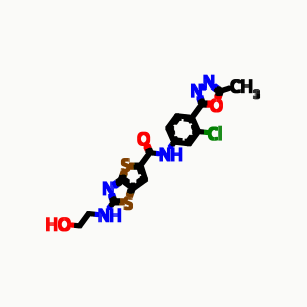 Cc1nnc(-c2ccc(NC(=O)c3cc4sc(NCCO)nc4s3)cc2Cl)o1